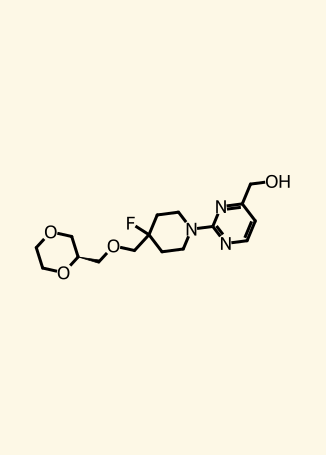 OCc1ccnc(N2CCC(F)(COC[C@@H]3COCCO3)CC2)n1